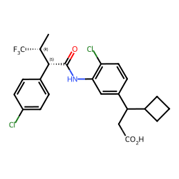 C[C@H]([C@H](C(=O)Nc1cc(C(CC(=O)O)C2CCC2)ccc1Cl)c1ccc(Cl)cc1)C(F)(F)F